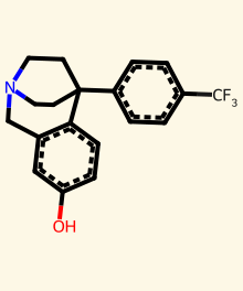 Oc1ccc2c(c1)CN1CCC2(c2ccc(C(F)(F)F)cc2)CC1